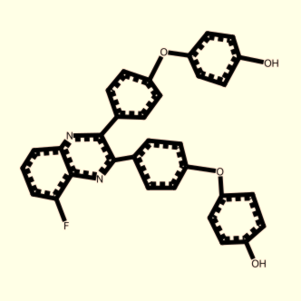 Oc1ccc(Oc2ccc(-c3nc4cccc(F)c4nc3-c3ccc(Oc4ccc(O)cc4)cc3)cc2)cc1